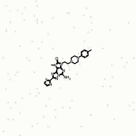 Cc1ccc(N2CCN(CCn3c(=O)n(C)c4c3nc(N)n3nc(-c5nccs5)nc43)CC2)cc1